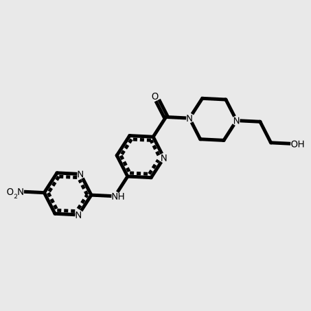 O=C(c1ccc(Nc2ncc([N+](=O)[O-])cn2)cn1)N1CCN(CCO)CC1